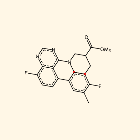 COC(=O)C1CCCN(c2ncnc3c(F)ccc(-c4ccc(F)c(C)c4)c23)C1